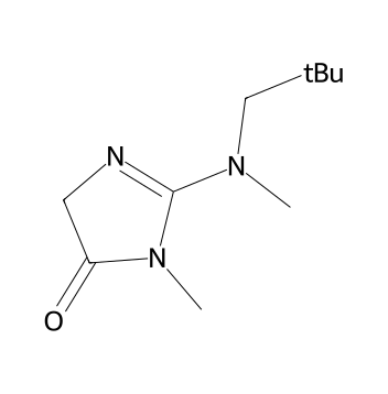 CN(CC(C)(C)C)C1=NCC(=O)N1C